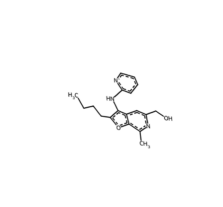 CCCCc1oc2c(C)nc(CO)cc2c1Nc1ccccn1